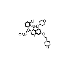 COCOc1cccc(Cl)c1Nc1ncnc2cc(OCCN3CCN(C)CC3)cc(OC3CCOCC3)c12